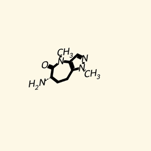 CN1C(=O)[C@@H](N)CCc2c1cnn2C